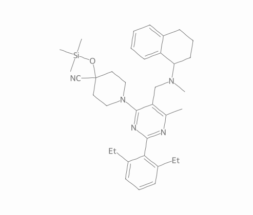 CCc1cccc(CC)c1-c1nc(C)c(CN(C)C2CCCc3ccccc32)c(N2CCC(C#N)(O[Si](C)(C)C)CC2)n1